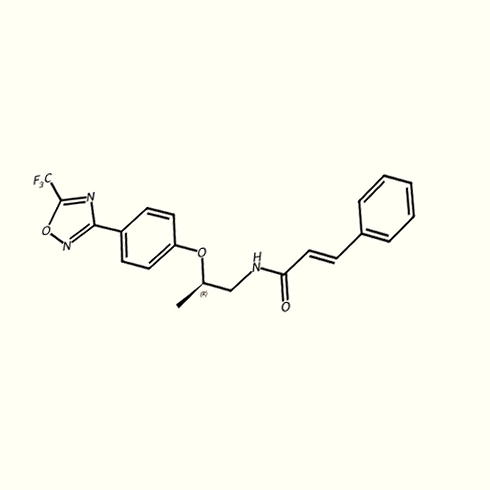 C[C@H](CNC(=O)C=Cc1ccccc1)Oc1ccc(-c2noc(C(F)(F)F)n2)cc1